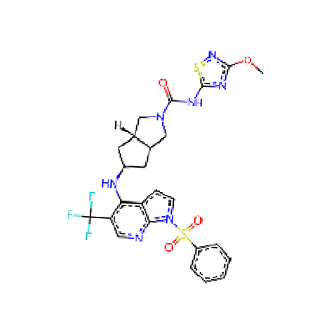 COc1nsc(NC(=O)N2CC3C[C@@H](Nc4c(C(F)(F)F)cnc5c4ccn5S(=O)(=O)c4ccccc4)C[C@@H]3C2)n1